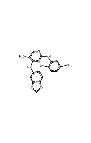 Cc1ccc(Cl)c(Nc2ncc(C)c(Nc3ccc4ocnc4c3)n2)c1